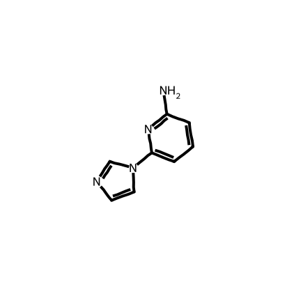 Nc1cccc(-n2ccnc2)n1